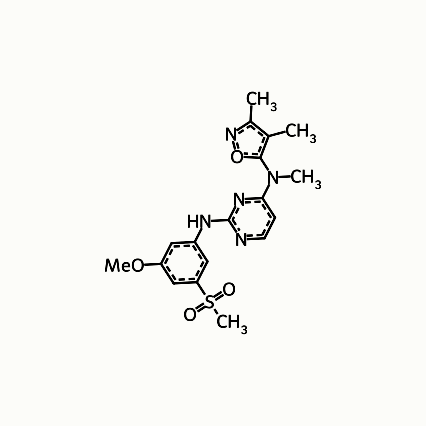 COc1cc(Nc2nccc(N(C)c3onc(C)c3C)n2)cc(S(C)(=O)=O)c1